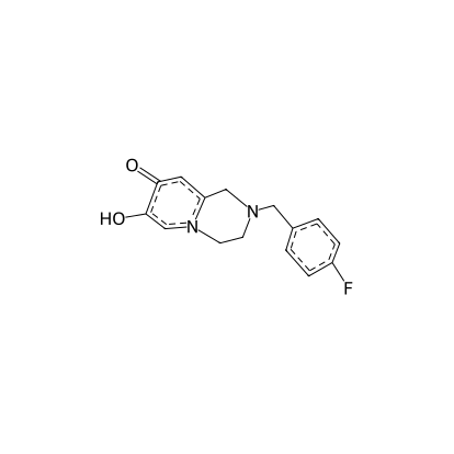 O=c1cc2n(cc1O)CCN(Cc1ccc(F)cc1)C2